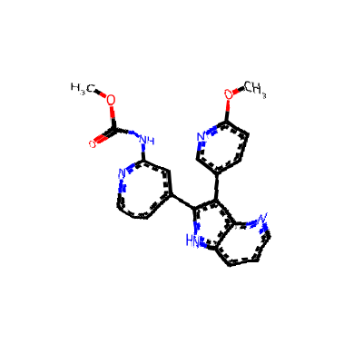 COC(=O)Nc1cc(-c2[nH]c3cccnc3c2-c2ccc(OC)nc2)ccn1